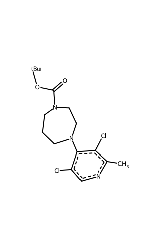 Cc1ncc(Cl)c(N2CCCN(C(=O)OC(C)(C)C)CC2)c1Cl